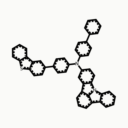 c1ccc(-c2ccc(N(c3ccc(-c4ccc5sc6ccccc6c5c4)cc3)c3ccc4c(c3)c3cccc5c6ccccc6n4c53)cc2)cc1